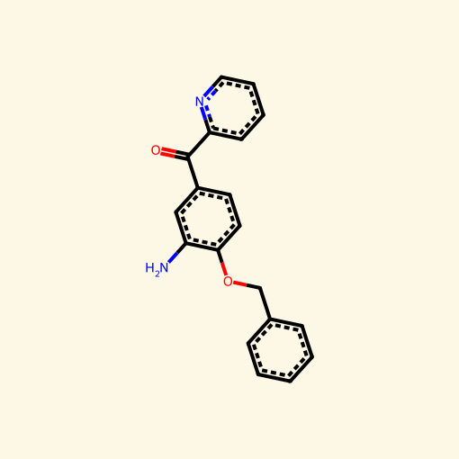 Nc1cc(C(=O)c2ccccn2)ccc1OCc1ccccc1